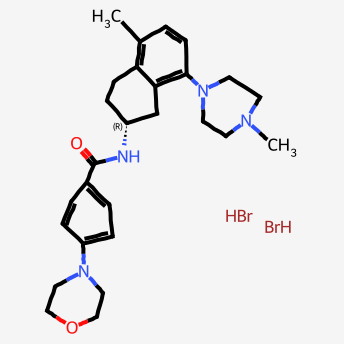 Br.Br.Cc1ccc(N2CCN(C)CC2)c2c1CC[C@@H](NC(=O)c1ccc(N3CCOCC3)cc1)C2